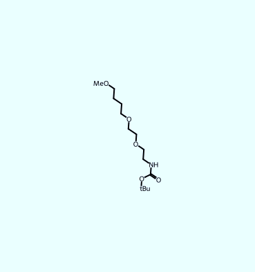 COCCCCOCCOCCNC(=O)OC(C)(C)C